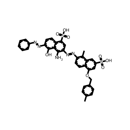 Cc1ccc(COc2cc(S(=O)(=O)O)cc3c(C)c(N=Nc4cc(S(=O)(=O)O)c5ccc(N=Nc6ccccc6)c(O)c5c4N)ccc23)cc1